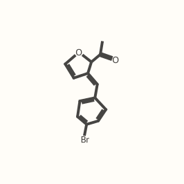 CC(=O)C1OC=CC1=Cc1ccc(Br)cc1